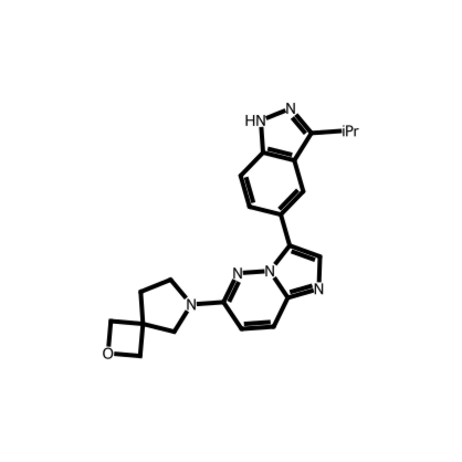 CC(C)c1n[nH]c2ccc(-c3cnc4ccc(N5CCC6(COC6)C5)nn34)cc12